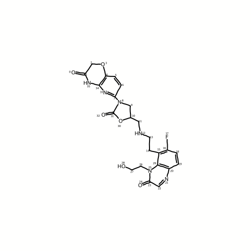 O=C1COc2ccc(N3CC(CNCCc4c(F)ccc5ncc(=O)n(CCO)c45)OC3=O)nc2N1